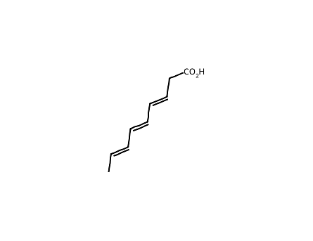 C/C=C/C=C/C=C/CC(=O)O